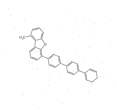 Cc1cccc2oc3c(-c4ccc(-c5ccc(C6=CCCC=C6)cc5)cc4)cccc3c12